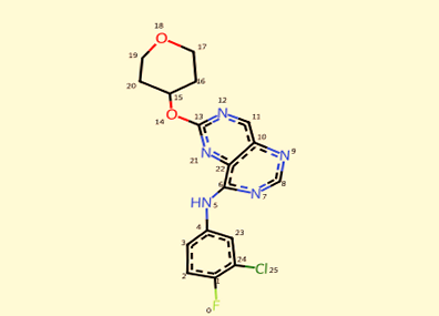 Fc1ccc(Nc2ncnc3cnc(OC4CCOCC4)nc23)cc1Cl